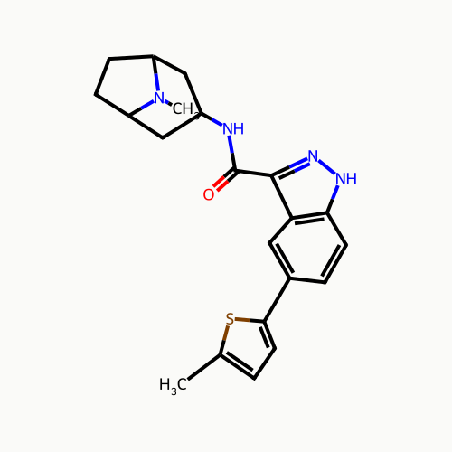 Cc1ccc(-c2ccc3[nH]nc(C(=O)NC4CC5CCC(C4)N5C)c3c2)s1